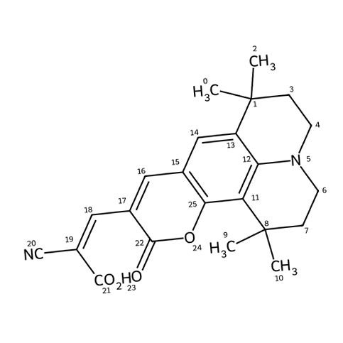 CC1(C)CCN2CCC(C)(C)c3c2c1cc1cc(/C=C(/C#N)C(=O)O)c(=O)oc31